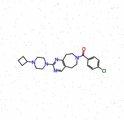 O=C(c1ccc(Cl)cc1)N1CCc2cnc(N3CCN(C4CCC4)CC3)nc2CC1